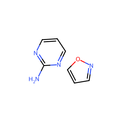 Nc1ncccn1.c1cnoc1